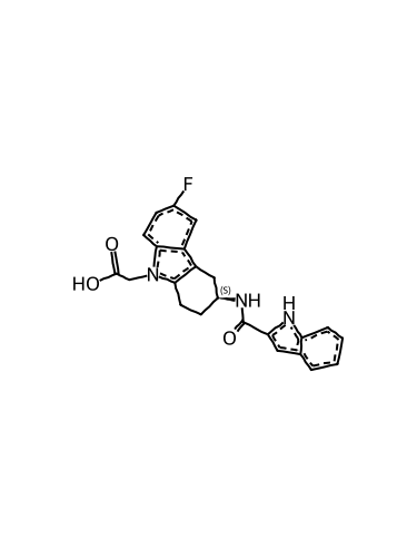 O=C(O)Cn1c2c(c3cc(F)ccc31)C[C@@H](NC(=O)c1cc3ccccc3[nH]1)CC2